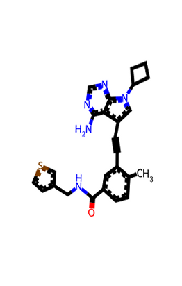 Cc1ccc(C(=O)NCc2ccsc2)cc1C#Cc1cn(C2CCC2)c2ncnc(N)c12